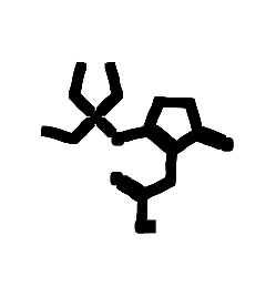 CC[Si](CC)(CC)OC1=C(CC(=O)O)C(=O)CC1